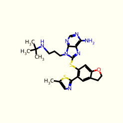 Cc1cnc(-c2cc3c(cc2Sc2nc4c(N)ncnc4n2CCCNC(C)(C)C)OCC3)s1